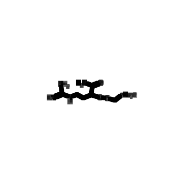 CCCCCCCCCCC(CCNC(=N)N)C(N)=O